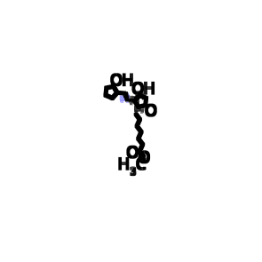 COC(=O)CCCCCC[C@H]1C(=O)C[C@@H](O)[C@@H]1/C=C/C1CCCC1O